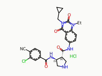 CCn1c(=O)n(CC2CC2)c(=O)c2cc(NC(=O)[C@@H]3CNC[C@H]3NC(=O)c3ccc(C#N)c(Cl)c3)ccc21.Cl